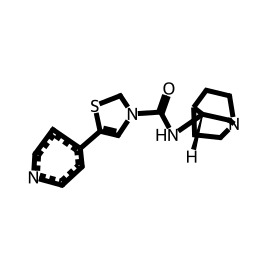 O=C(N[C@H]1CN2CCC1CC2)N1C=C(c2ccncc2)SC1